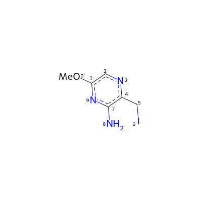 COc1cnc(CI)c(N)n1